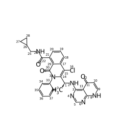 C[C@H](Nc1ncnc2[nH]ccc(=O)c12)c1c(Cl)c2cccc(C(=O)NCC3CC3)c2c(=O)n1-c1ccccc1